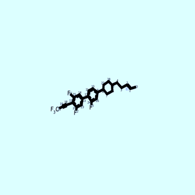 C/C=C/CCC1CCC(c2ccc(-c3cc(F)c(C#CC(F)(F)F)c(F)c3)c(F)c2)CC1